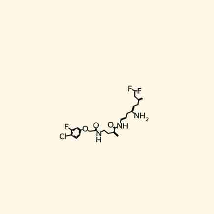 C=C(C/C=C(\N)C/C=C/NC(=O)C(=C)CCNC(=O)COc1ccc(Cl)c(F)c1)CC(F)F